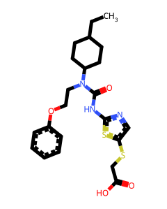 CCC1CCC(N(CCOc2ccccc2)C(=O)Nc2ncc(SCC(=O)O)s2)CC1